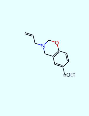 C=CCN1COc2ccc(CCCCCCCC)cc2C1